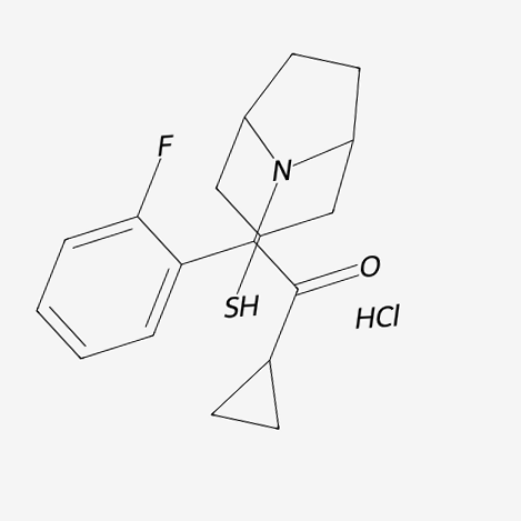 Cl.O=C(C1CC1)C(c1ccccc1F)N1C2CCC1CC(S)C2